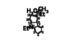 CCn1c2ccccc2c2cc(C(C)(C)CC)ccc21